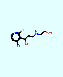 Cc1ccnc(Cl)c1C(O)CCNCCO